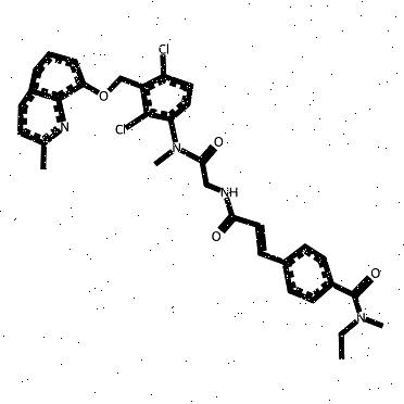 CCN(C)C(=O)c1ccc(/C=C/C(=O)NCC(=O)N(C)c2ccc(Cl)c(COc3cccc4ccc(C)nc34)c2Cl)cc1